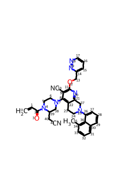 C=CC(=O)N1CCN(c2c(C#N)c(OCc3cccnn3)nc3c2CCN(c2cccc4cccc(C)c24)C3)CC1CC#N